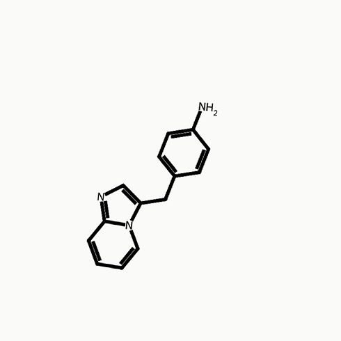 Nc1ccc(Cc2cnc3ccccn23)cc1